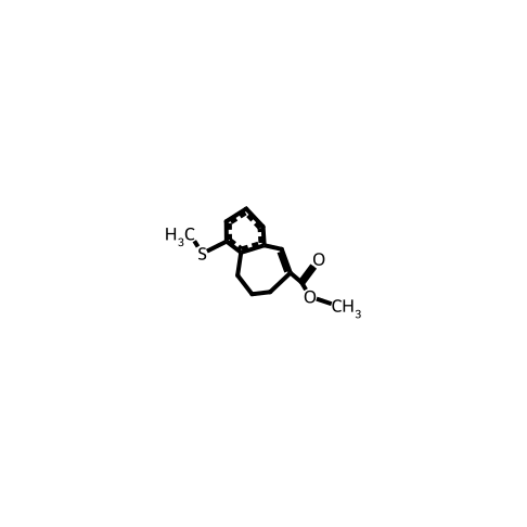 COC(=O)C1=Cc2cccc(SC)c2CCC1